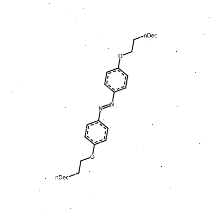 CCCCCCCCCCCCOc1ccc(N=Nc2ccc(OCCCCCCCCCCCC)cc2)cc1